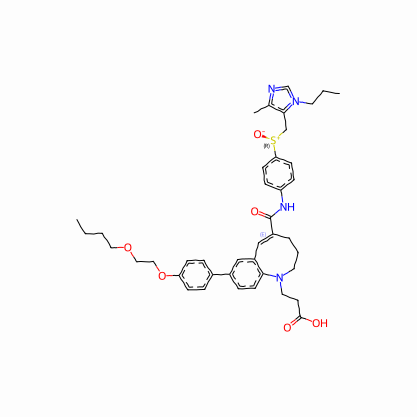 CCCCOCCOc1ccc(-c2ccc3c(c2)/C=C(/C(=O)Nc2ccc([S@@+]([O-])Cc4c(C)ncn4CCC)cc2)CCCN3CCC(=O)O)cc1